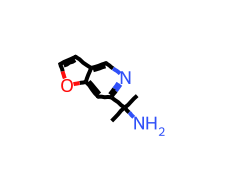 CC(C)(N)c1cc2occc2cn1